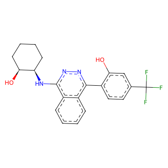 Oc1cc(C(F)(F)F)ccc1-c1nnc(N[C@@H]2CCCC[C@@H]2O)c2ccccc12